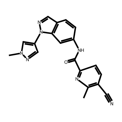 Cc1nc(C(=O)Nc2ccc3cnn(-c4cnn(C)c4)c3c2)ccc1C#N